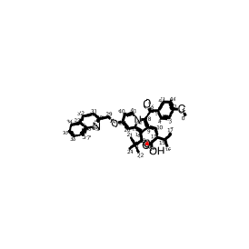 COc1ccc(C(=O)c2c(CC(C(=O)O)C(C)C)c(C(=O)C(C)(C)C)c3cc(OCc4ccc5ccccc5n4)ccn23)cc1